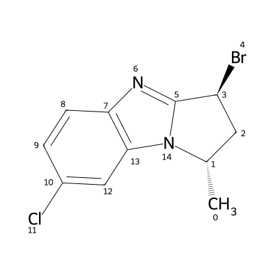 C[C@H]1C[C@H](Br)c2nc3ccc(Cl)cc3n21